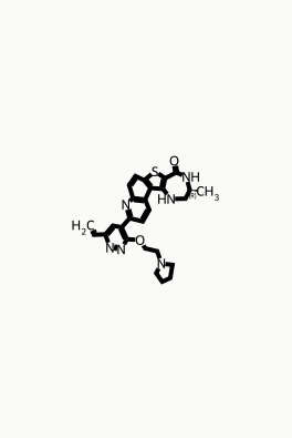 C=Cc1cc(-c2ccc3c(ccc4sc5c(c43)NC[C@@H](C)NC5=O)n2)c(OCCN2CCCC2)nn1